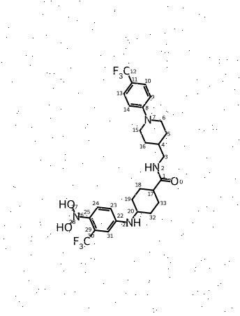 O=C(NCC1CCN(c2ccc(C(F)(F)F)cc2)CC1)C1CCC(Nc2ccc(N(O)O)c(C(F)(F)F)c2)CC1